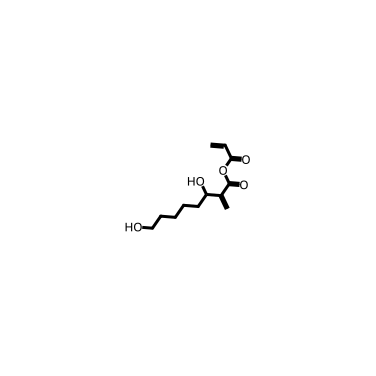 C=CC(=O)OC(=O)C(=C)C(O)CCCCCO